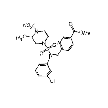 COC(=O)c1ccc(CN(c2cccc(Cl)c2)S(=O)(=O)N2CCN(C(=O)O)C(C)C2)nc1